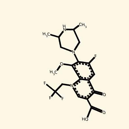 COc1c(N2CC(C)NC(C)C2)c(F)cc2c(=O)c(C(=O)O)cn(CC(F)(F)F)c12